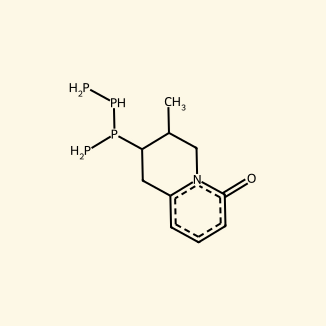 CC1Cn2c(cccc2=O)CC1P(P)PP